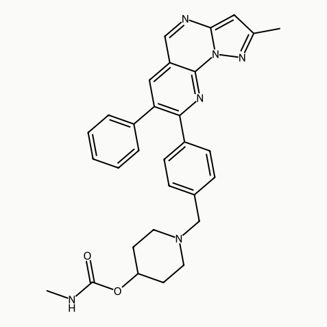 CNC(=O)OC1CCN(Cc2ccc(-c3nc4c(cnc5cc(C)nn54)cc3-c3ccccc3)cc2)CC1